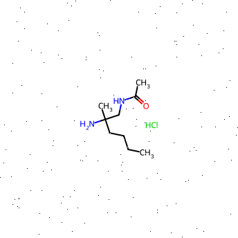 CCCCC(C)(N)CNC(C)=O.Cl